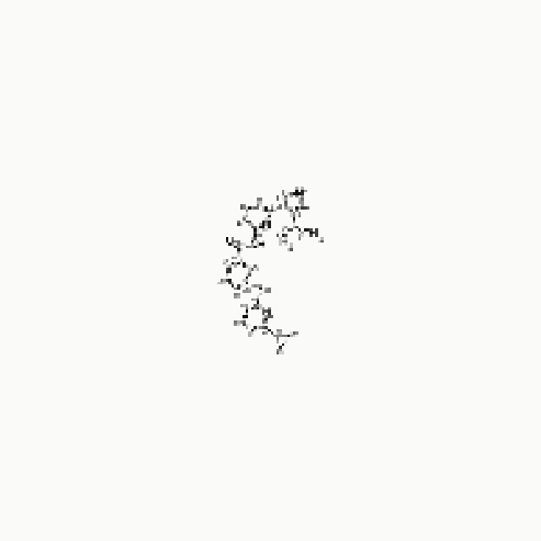 CC(C)n1cnnc1-c1cccc(NC(=O)c2cccc(Sc3cccc(C4CC4)n3)c2)n1